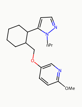 CCCn1nccc1C1CCCCC1COc1ccc(OC)nc1